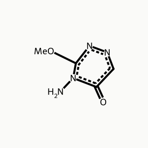 COc1nncc(=O)n1N